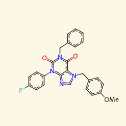 COc1ccc(Cn2cnc3c2c(=O)n(Cc2ccccc2)c(=O)n3-c2ccc(F)cc2)cc1